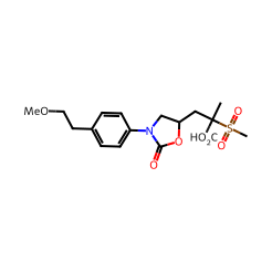 COCCc1ccc(N2CC(CC(C)(C(=O)O)S(C)(=O)=O)OC2=O)cc1